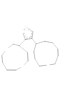 c1nsc(C2CCCCCCCCC2)c1C1CCCCCCCCC1